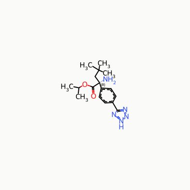 CC(C)OC(=O)[C@@](N)(CC(C)(C)C)c1ccc(-c2nn[nH]n2)cc1